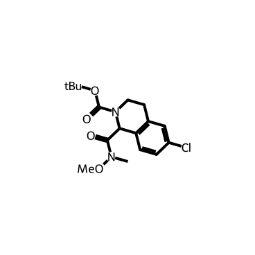 CON(C)C(=O)C1c2ccc(Cl)cc2CCN1C(=O)OC(C)(C)C